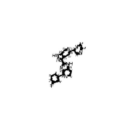 Fc1cccc(-c2nccc3[nH]c(-c4n[nH]c5cnc(-c6cnccn6)cc45)nc23)c1